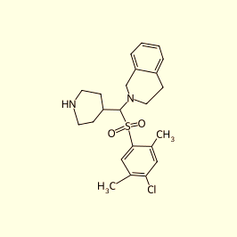 Cc1cc(S(=O)(=O)C(C2CCNCC2)N2CCc3ccccc3C2)c(C)cc1Cl